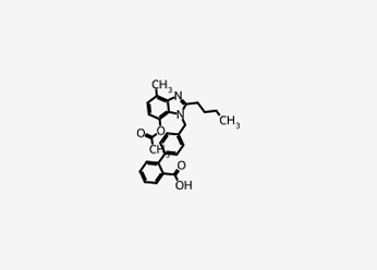 CCCCc1nc2c(C)ccc(OC(C)=O)c2n1Cc1ccc(-c2ccccc2C(=O)O)cc1